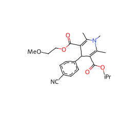 COCCOC(=O)C1=C(C)N(C)C(C)=C(C(=O)OC(C)C)C1c1ccc(C#N)cc1